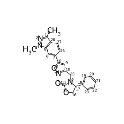 Cc1nn(C)c2cc(-c3cc(CN4C(=O)OCC4c4ccccc4)no3)ccc12